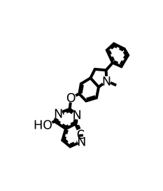 CN1C(c2ccccc2)CC2C=C(Oc3nc(O)c4ccncc4n3)C=CC21